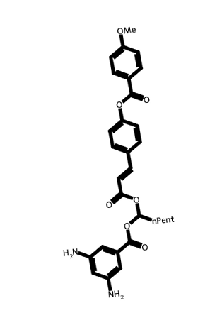 CCCCCC(OC(=O)C=Cc1ccc(OC(=O)c2ccc(OC)cc2)cc1)OC(=O)c1cc(N)cc(N)c1